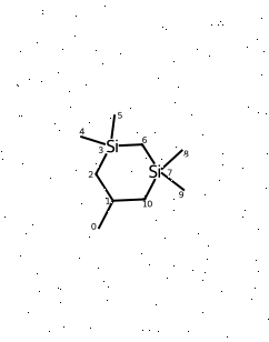 CC1C[Si](C)(C)C[Si](C)(C)C1